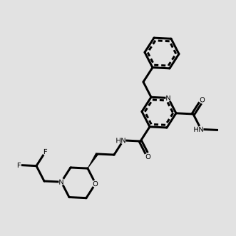 CNC(=O)c1cc(C(=O)NCC[C@@H]2CN(CC(F)F)CCO2)cc(Cc2ccccc2)n1